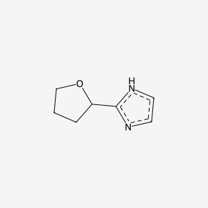 c1c[nH]c(C2CCCO2)n1